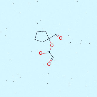 O=CC(=O)OC1(C=O)CCCC1